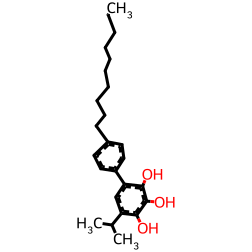 CCCCCCCCCCc1ccc(-c2cc(C(C)C)c(O)c(O)c2O)cc1